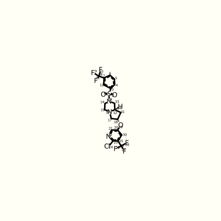 O=S(=O)(c1cccc(C(F)(F)F)c1)N1CCN2C[C@@H](Oc3cnc(Cl)c(C(F)(F)F)c3)C[C@H]2C1